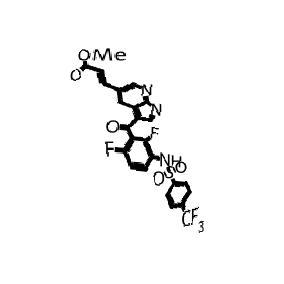 COC(=O)C=CC1=CN=C2N=CC(C(=O)c3c(F)ccc(NS(=O)(=O)c4ccc(C(F)(F)F)cc4)c3F)=C2C1